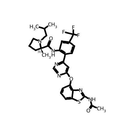 CC(=O)Nc1nc2c(Oc3cc(-c4ccc(C(F)(F)F)cc4NC(=O)[C@]4(C)CCCN4CC(C)C)ncn3)cccc2s1